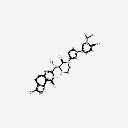 Nc1nsc2c1ccc1[nH]c([C@H](O)C3OCCN(c4ccn(-c5ccc(=O)n(C(F)F)c5)n4)C3=O)nc(=O)c12